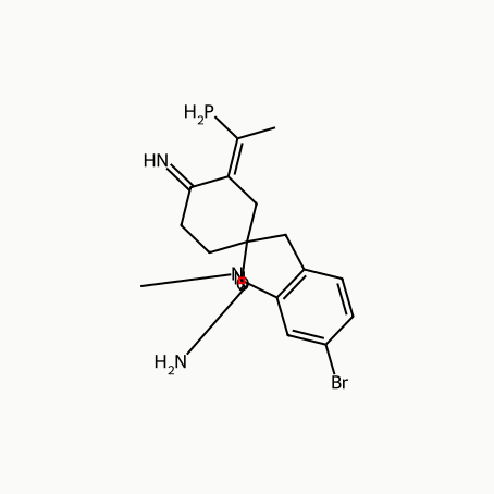 C/C(P)=C1\CC2(CCC1=N)Cc1ccc(Br)cc1C21N=C(N)N(C)O1